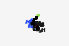 COc1c(C(=O)NC(C(=O)O)c2ccccc2)ccc2[nH]nc(C=Cc3ccc(F)cc3)c12